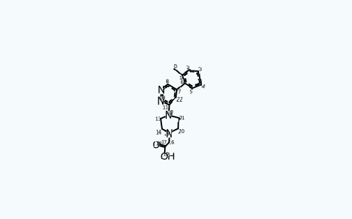 Cc1ccccc1-c1cnnc(N2CCN(CC(=O)O)CC2)c1